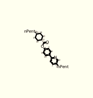 CCCCCc1ccc(-c2ccc(OC(=O)[C@H]3CC[C@H](CCCCC)CC3)cc2)nc1